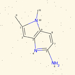 Cc1cc2nc(N)ccc2n1C